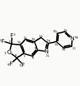 FC1(F)OC(F)(F)c2cc3c(cc21)CC(c1ccncc1)=N3